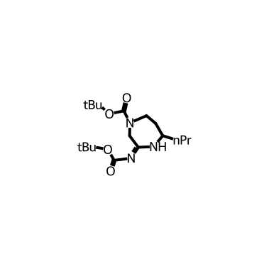 CCCC1CCN(C(=O)OC(C)(C)C)CC(=NC(=O)OC(C)(C)C)N1